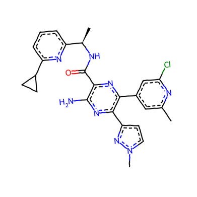 Cc1cc(-c2nc(C(=O)N[C@H](C)c3cccc(C4CC4)n3)c(N)nc2-c2ccn(C)n2)cc(Cl)n1